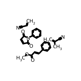 C=C(C)C#N.C=CC#N.COC(=O)C=Cc1ccccc1.O=C1C=CC(=O)N1c1ccccc1